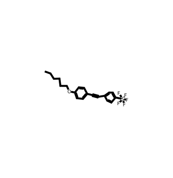 CCCCCCOc1ccc(C#Cc2ccc(S(F)(F)(F)(F)F)cc2)cc1